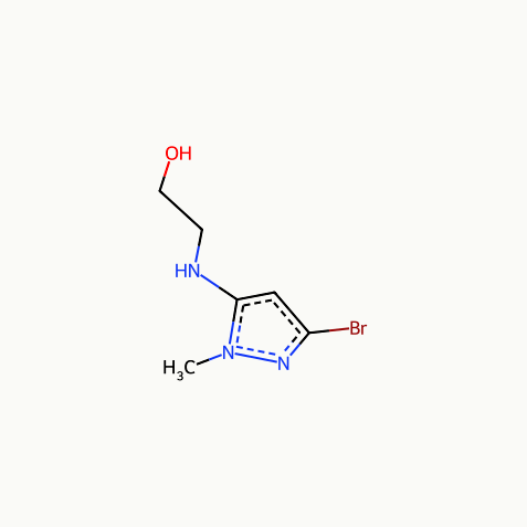 Cn1nc(Br)cc1NCCO